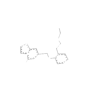 CCOCCc1ccccc1OCc1cc(Cl)n2ccnc2c1